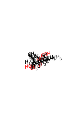 CCCCCC(C)(C)c1cc(Cc2cc(CCCC)cc(Cc3cc(C(C)(C)CCCCC)cc(C(=O)O)c3O)c2OC)c(O)c(C(=O)O)c1